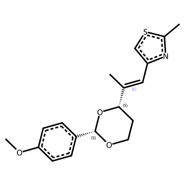 COc1ccc([C@H]2OCC[C@@H](/C(C)=C/c3csc(C)n3)O2)cc1